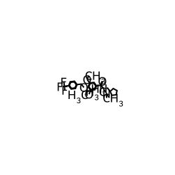 COc1cc(C(=O)NCC2(N(C)C)CCCC2)cc(OC)c1OCc1ccc(C(F)(F)F)cc1